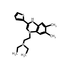 CCN(CC)CCN1C=C(c2cccs2)Nc2cc(C)c(C)cc21